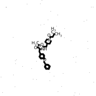 COC(=O)C(Cc1ccc(OCc2ccccc2)cc1)NC(=O)CC1CCN(C(=O)CC(C)C)CC1